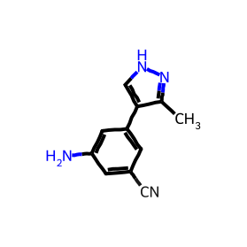 Cc1n[nH]cc1-c1cc(N)cc(C#N)c1